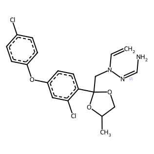 C=CN(CC1(c2ccc(Oc3ccc(Cl)cc3)cc2Cl)OCC(C)O1)/N=C\N